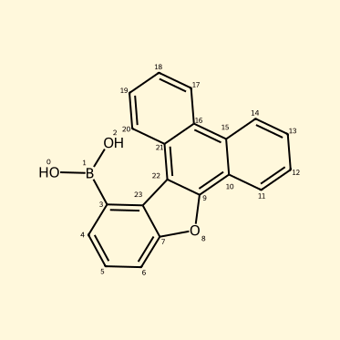 OB(O)c1cccc2oc3c4ccccc4c4ccccc4c3c12